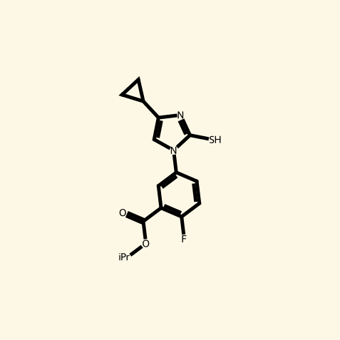 CC(C)OC(=O)c1cc(-n2cc(C3CC3)nc2S)ccc1F